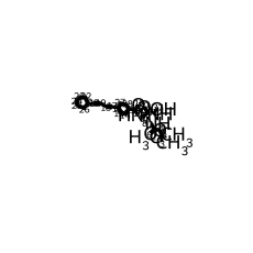 CC(C)(C)OC(=O)NC[C@H](NC(=O)c1ccc(C#CC#Cc2ccccc2)cc1)C(=O)NO